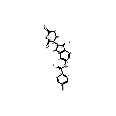 Cc1ccc(C(=O)Nc2ccc3c(c2)CN(C2CCC(=O)NC2=O)C3=O)cc1